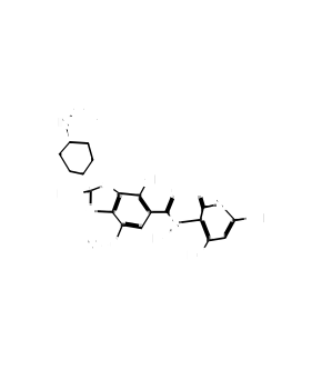 COc1cc(C(=O)N(C)c2c(C)cc(C)[nH]c2=O)c(C)c2c1OC(C)([C@H]1CC[C@H](NC(=O)O)CC1)O2